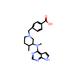 CC1CCN(Cc2ccc(C(=O)O)cc2)CC1N(C)c1ncnc2[nH]ccc12